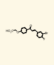 O=C(O)COc1ccc(C(=O)/C=C/c2ccc(F)c(Br)c2)cc1